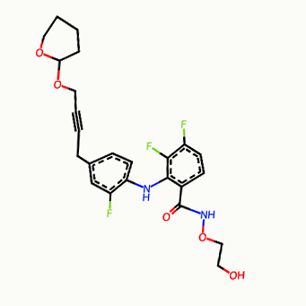 O=C(NOCCO)c1ccc(F)c(F)c1Nc1ccc(CC#CCOC2CCCCO2)cc1F